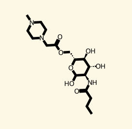 CCCC(=O)N[C@H]1C(O)O[C@H](COC(=O)CN2CCN(C)CC2)[C@@H](O)[C@@H]1O